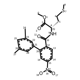 COC(=O)[C@H](CCSC)NC(=O)c1ccc([N+](=O)[O-])cc1-c1cc(C)cc(C)c1